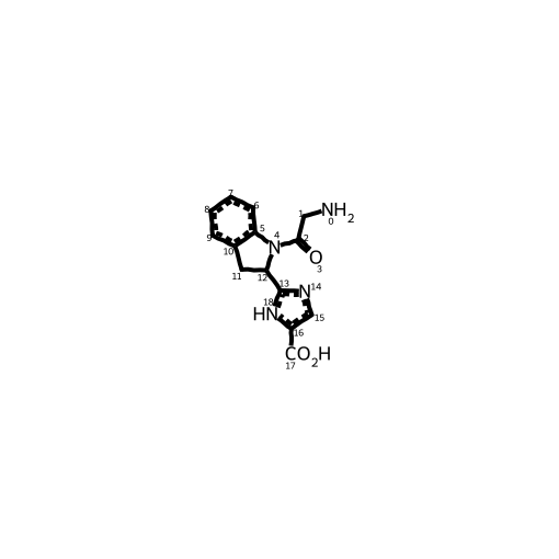 NCC(=O)N1c2ccccc2CC1c1ncc(C(=O)O)[nH]1